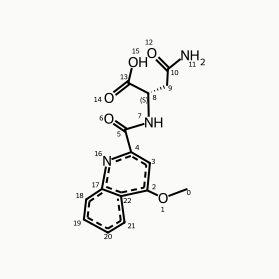 COc1cc(C(=O)N[C@@H](CC(N)=O)C(=O)O)nc2ccccc12